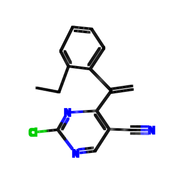 C=C(c1ccccc1CC)c1nc(Cl)ncc1C#N